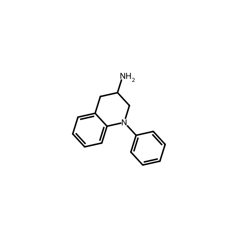 NC1Cc2ccccc2N(c2ccccc2)C1